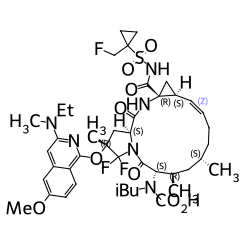 CCC(C)N(C(=O)O)[C@@H]1C(=O)N2[C@@H](C[C@@](C)(Oc3nc(N(C)CC)cc4cc(OC)ccc34)C2(F)F)C(=O)N[C@]2(C(=O)NS(=O)(=O)C3(CF)CC3)C[C@H]2/C=C\CC[C@H](C)C[C@H]1C